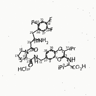 CC(C)C(NC(=O)C(Oc1ccc(CNC(=O)[C@@H]2SCCN2C(=O)C[C@H](N)Cc2cc(F)c(F)cc2F)cc1)C(C)C)C(=O)O.Cl